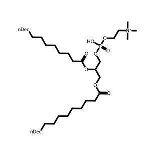 CCCCCCCCCCCCCCCCCCC(=O)OCC(COP(=O)(O)OCC[N+](C)(C)C)OC(=O)CCCCCCCCCCCCCCCCC